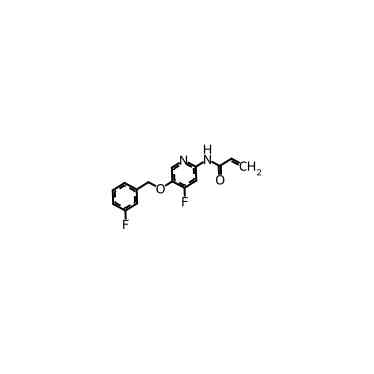 C=CC(=O)Nc1cc(F)c(OCc2cccc(F)c2)cn1